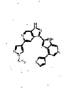 Cn1cc(-c2cc3c(-c4cc5c(-c6ccsc6)cncc5[nH]4)n[nH]c3cn2)cn1